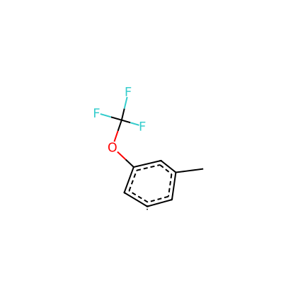 Cc1c[c]cc(OC(F)(F)F)c1